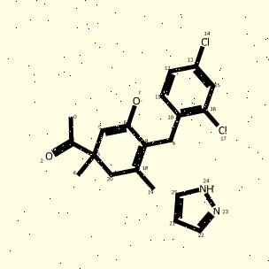 CC(=O)C1(C)C=C([O])C(Cc2ccc(Cl)cc2Cl)=C(C)C1.c1cn[nH]c1